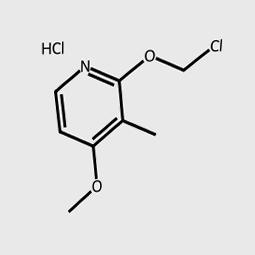 COc1ccnc(OCCl)c1C.Cl